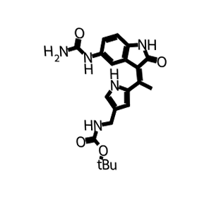 CC(=C1C(=O)Nc2ccc(NC(N)=O)cc21)c1cc(CNC(=O)OC(C)(C)C)c[nH]1